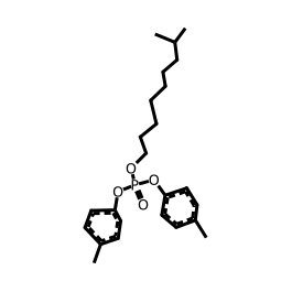 Cc1ccc(OP(=O)(OCCCCCCCC(C)C)Oc2ccc(C)cc2)cc1